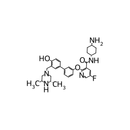 CC1CN(Cc2cc(-c3cccc(Oc4ncc(F)cc4C(=O)N[C@H]4CC[C@H](N)CC4)c3)ccc2O)C[C@H](C)N1